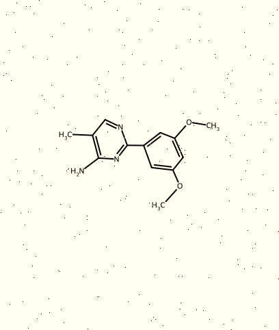 COc1cc(OC)cc(-c2ncc(C)c(N)n2)c1